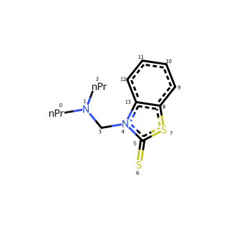 CCCN(CCC)Cn1c(=S)sc2ccccc21